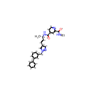 CCNC(=O)c1cc(C(=O)N[C@@H](C)/C=C/c2cnn(Cc3cccc(-c4ccccc4)c3)c2)ccn1